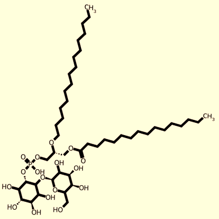 CCCCCCCCCCCCCCCCO[C@H](COC(=O)CCCCCCCCCCCCCCC)COP(=O)(O)O[C@@H]1C(O[C@@H]2OC(CO)[C@H](O)[C@H](O)C2O)C(O)[C@@H](O)[C@H](O)C1O